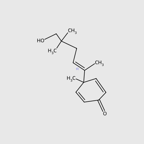 C/C(=C\CC(C)(C)CO)C1(C)C=CC(=O)C=C1